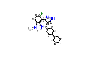 CN1CCN(C(c2ccc(-c3ccccc3)cc2)c2c[nH]nc2-c2ccccc2F)CC1